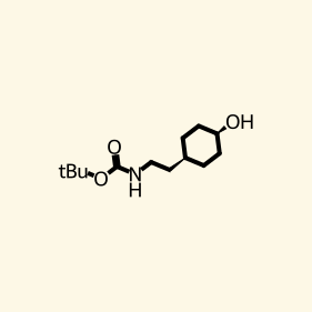 CC(C)(C)OC(=O)NCC[C@H]1CC[C@@H](O)CC1